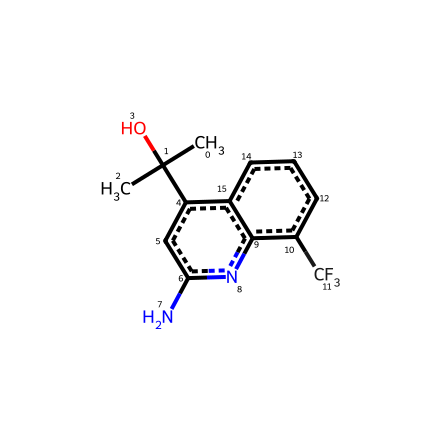 CC(C)(O)c1cc(N)nc2c(C(F)(F)F)cccc12